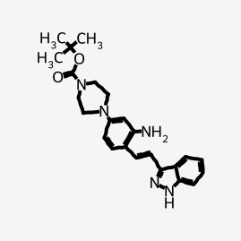 CC(C)(C)OC(=O)N1CCN(c2ccc(C=Cc3n[nH]c4ccccc34)c(N)c2)CC1